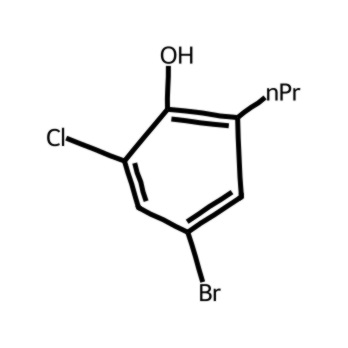 CCCc1cc(Br)cc(Cl)c1O